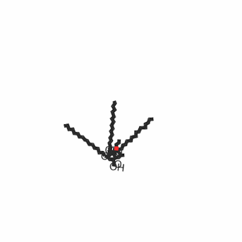 CCCCCCCCCCCCCCCCOC1=C(OCCCCCCCCCCCCCCCC)C(OCCCC)(OCCCCCCCCCCCCCCCC)C(CC(C)O)C(C(=O)O)=C1